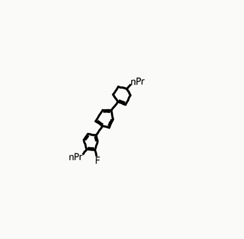 CCCc1ccc(-c2ccc(C3=CCC(CCC)CC3)cc2)cc1F